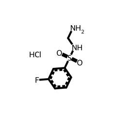 Cl.NCNS(=O)(=O)c1cccc(F)c1